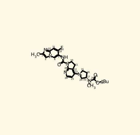 Cc1cn2cc(NC(=O)N3CCc4c(N5CC[C@H](N(C)C(=O)OC(C)(C)C)C5)ccnc43)c(F)cc2n1